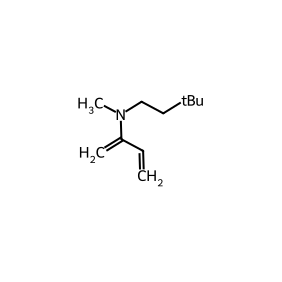 C=CC(=C)N(C)CCC(C)(C)C